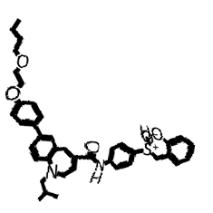 CCCCOCCOc1ccc(-c2ccc3c(c2)C=C(C(=O)Nc2ccc([S+]([O-])Cc4ccccc4O)cc2)CCN3CC(C)C)cc1